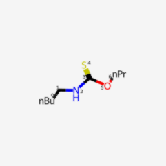 CCCCCNC(=S)OCCC